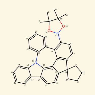 CC1(C)ON(c2ccc3c4c2-c2ccccc2-n2c5ccccc5c5ccc(c-4c52)C32CCCC2)OC1(C)C